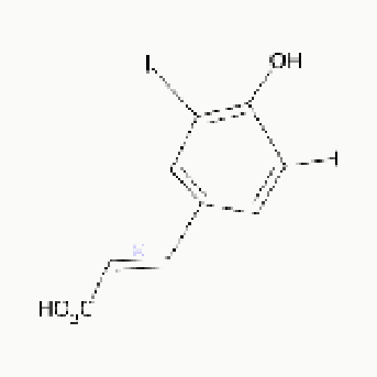 O=C(O)/C=C/c1cc(I)c(O)c(I)c1